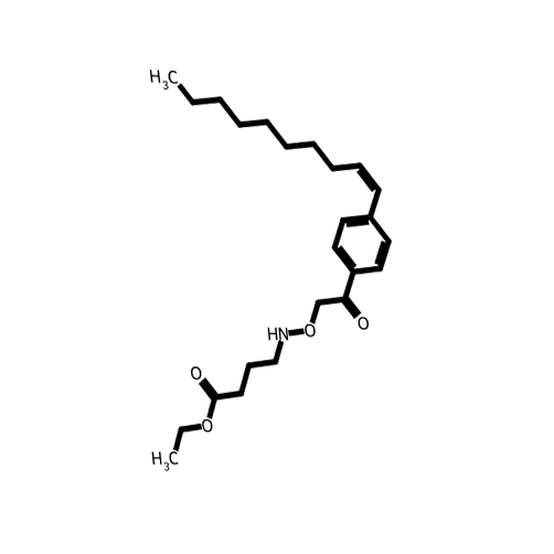 CCCCCCCC/C=C\c1ccc(C(=O)CONCCCC(=O)OCC)cc1